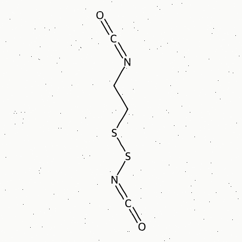 O=C=NCCSSN=C=O